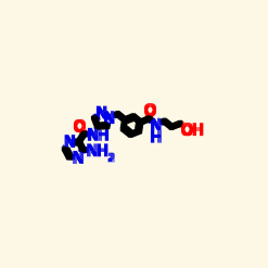 Nc1nccnc1C(=O)Nc1cnn(Cc2cccc(C(=O)NCCCO)c2)c1